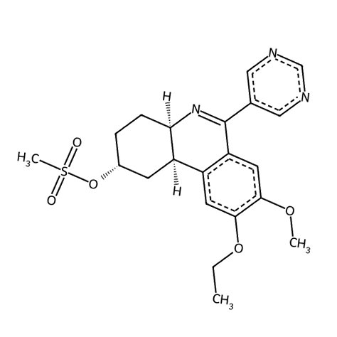 CCOc1cc2c(cc1OC)C(c1cncnc1)=N[C@@H]1CC[C@@H](OS(C)(=O)=O)C[C@H]21